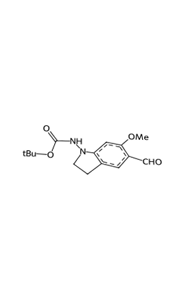 COc1cc2c(cc1C=O)CCN2NC(=O)OC(C)(C)C